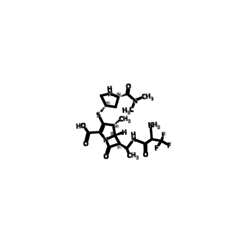 CC(NC(=O)C(N)C(F)(F)F)[C@H]1C(=O)N2C(C(=O)O)=C(S[C@@H]3CN[C@H](C(=O)N(C)C)C3)[C@H](C)[C@H]12